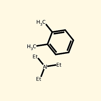 C[CH2][Al]([CH2]C)[CH2]C.Cc1ccccc1C